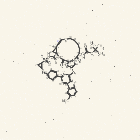 Cc1ccc2oc3c(O[C@@H]4C[C@H]5C(=O)N[C@]6(C(=O)NS(=O)(=O)C7CC7)C[C@H]6/C=C\CCCCC[C@H](NC(=O)OC(C)(C)C)C(=O)N5C4)nc(-c4ccc(F)cc4)nc3c2c1